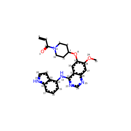 C=CC(=O)N1CCC(Oc2cc3c(Nc4cccc5[nH]ccc45)ncnc3cc2OC)CC1